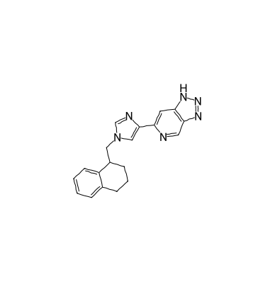 c1ccc2c(c1)CCCC2Cn1cnc(-c2cc3[nH]nnc3cn2)c1